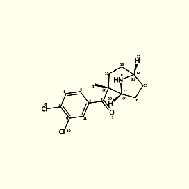 C[C@@]1(C(=O)c2ccc(Cl)c(Cl)c2)CC[C@@H]2CC[C@H]1N2